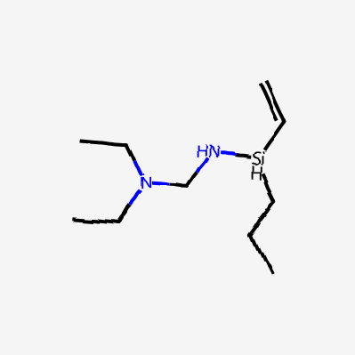 C=C[SiH](CCC)NCN(CC)CC